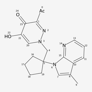 CC(=O)c1nn(CC2(n3cc(C)c4cccnc43)CCCC2)cc(O)c1=O